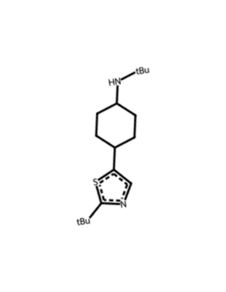 CC(C)(C)NC1CCC(c2cnc(C(C)(C)C)s2)CC1